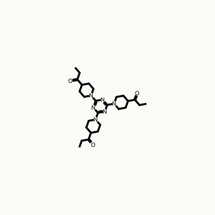 CCC(=O)C1CCN(c2nc(N3CCC(C(=O)CC)CC3)nc(N3CCC(C(=O)CC)CC3)n2)CC1